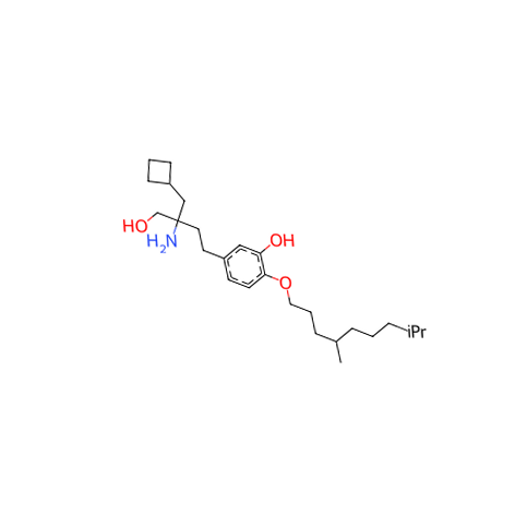 CC(C)CCCC(C)CCCOc1ccc(CCC(N)(CO)CC2CCC2)cc1O